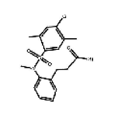 Cc1cc(S(=O)(=O)N(C)c2ccccc2CCC(=O)O)c(C)cc1Cl